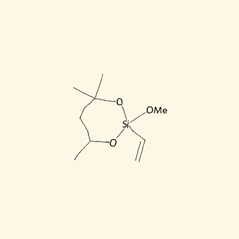 C=C[Si]1(OC)OC(C)CC(C)(C)O1